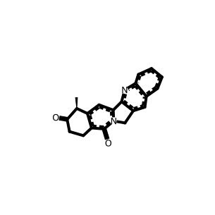 C[C@@H]1C(=O)CCc2c1cc1n(c2=O)Cc2cc3ccccc3nc2-1